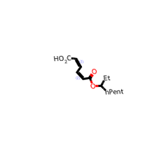 CCCCCC(CC)OC(=O)/C=C\C=C/C(=O)O